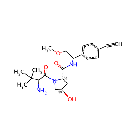 C#Cc1ccc(C(COC)NC(=O)[C@@H]2C[C@@H](O)CN2C(=O)C(N)C(C)(C)C)cc1